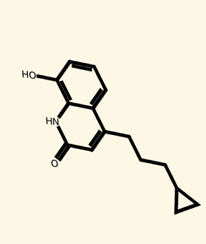 O=c1cc(CCCC2CC2)c2cccc(O)c2[nH]1